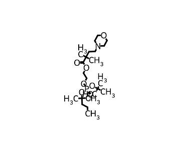 CCCC(C)(C)OP(=O)(OCCOC(=O)C(C)(C)CCN1CCOCC1)OC(C)(C)C